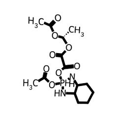 CC(=O)O[C@H](C)OC(=O)C(=O)O[PH]1(OC(C)=O)NC2CCCCC2N1